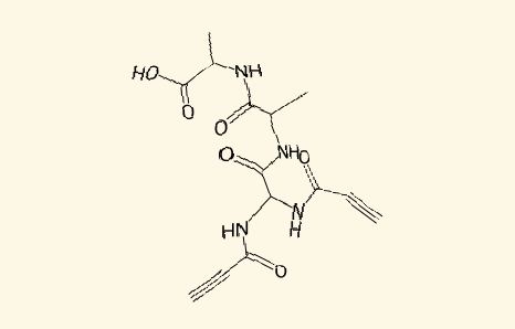 C#CC(=O)NC(NC(=O)C#C)C(=O)NC(C)C(=O)NC(C)C(=O)O